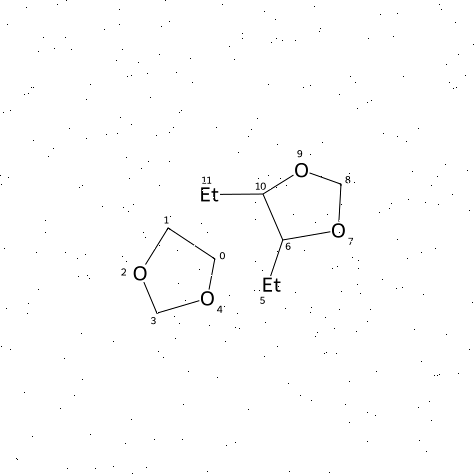 C1COCO1.CCC1OCOC1CC